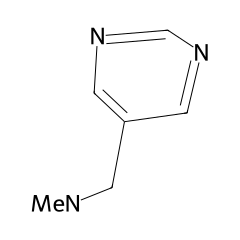 [CH2]NCc1cncnc1